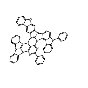 c1ccc(-c2nc3c4c(n2)-n2c5c6c7ccccc7n(-c7ccccc7)c6ccc5n5c6cc7oc8ccccc8c7cc6c(c25)B4c2c4ccccc4n4c5ccccc5n-3c24)cc1